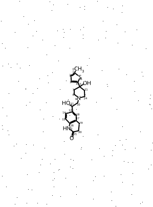 Cc1ccc(C2(O)CCN(CC(O)c3ccc4c(c3)CCC(=O)N4)CC2)s1